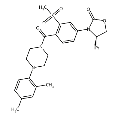 Cc1ccc(N2CCN(C(=O)c3ccc(N4C(=O)OC[C@H]4C(C)C)cc3S(C)(=O)=O)CC2)c(C)c1